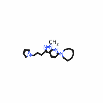 Cn1nc(CCCN2CC=CC2)c2ccc(N3CCCCCCC3)nc21